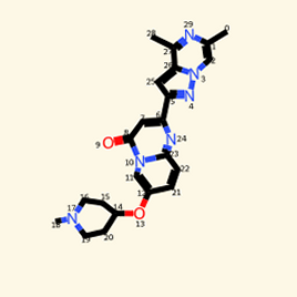 Cc1cn2nc(-c3cc(=O)n4cc(OC5CCN(C)CC5)ccc4n3)cc2c(C)n1